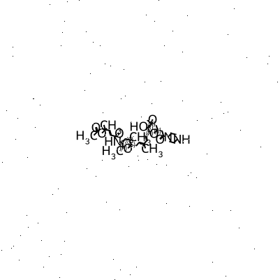 CC(=O)OC(C)C=CC(=O)N[C@@H]1C[C@H](C)[C@H](CC=C(C)C=C[C@H]2O[C@H](CC(=O)N3CCNCC3)C[C@@]3(CO3)[C@@H]2O)O[C@@H]1C